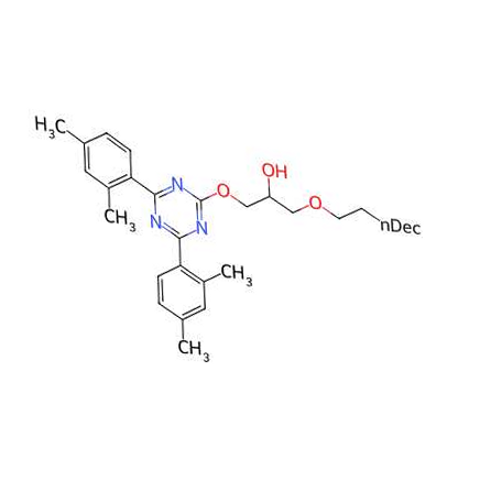 CCCCCCCCCCCCOCC(O)COc1nc(-c2ccc(C)cc2C)nc(-c2ccc(C)cc2C)n1